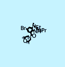 CCC[C@H](CC)Nc1c(C(=O)N2C[C@@H](C)O[C@@H](C)C2)cc(Br)cc1N(C)C